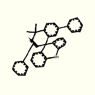 CC1(C)c2ccc(-c3ccccc3)cc2C2(c3ccccc3Nc3ccccc32)c2cc(-c3ccccc3)ccc21